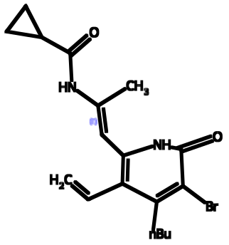 C=Cc1c(/C=C(\C)NC(=O)C2CC2)[nH]c(=O)c(Br)c1CCCC